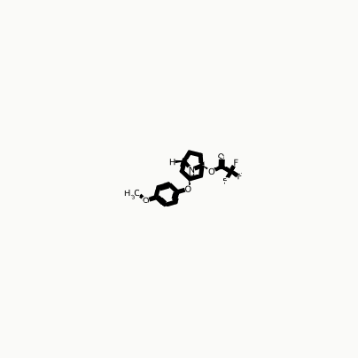 COc1ccc(O[C@@H]2C[C@@H]3CC[C@@](OC(=O)C(F)(F)F)(C2)N3)cc1